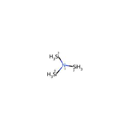 [SiH3]N([SiH3])[SiH3]